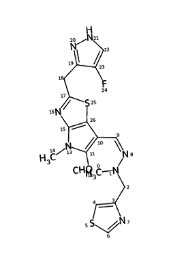 CN(Cc1cscn1)/N=C\c1c(C=O)n(C)c2nc(Cc3n[nH]cc3F)sc12